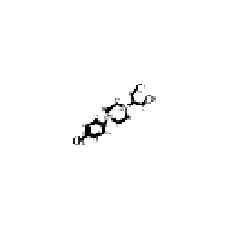 O=CC(CCl)N1CCN(c2ccc(Cl)cc2)CC1